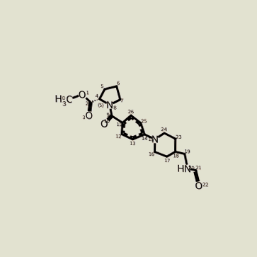 COC(=O)[C@@H]1CCCN1C(=O)c1ccc(N2CCC(CNC=O)CC2)cc1